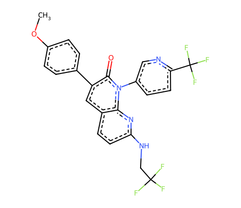 COc1ccc(-c2cc3ccc(NCC(F)(F)F)nc3n(-c3ccc(C(F)(F)F)nc3)c2=O)cc1